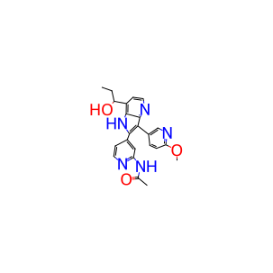 CCC(O)c1ccnc2c(-c3ccc(OC)nc3)c(-c3ccnc(NC(C)=O)c3)[nH]c12